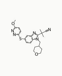 COc1ccc(Sc2ccc3c(c2)nc(C(C)(C)C#N)n3CC2CCOCC2)nn1